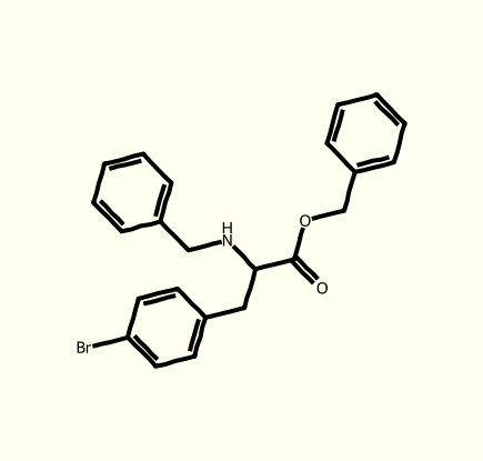 O=C(OCc1ccccc1)C(Cc1ccc(Br)cc1)NCc1ccccc1